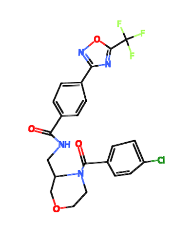 O=C(NCC1COCCN1C(=O)c1ccc(Cl)cc1)c1ccc(-c2noc(C(F)(F)F)n2)cc1